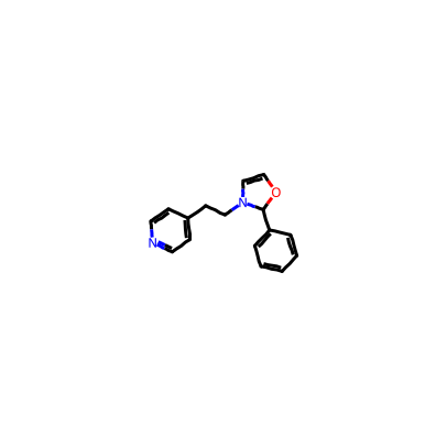 C1=CN(CCc2ccncc2)C(c2ccccc2)O1